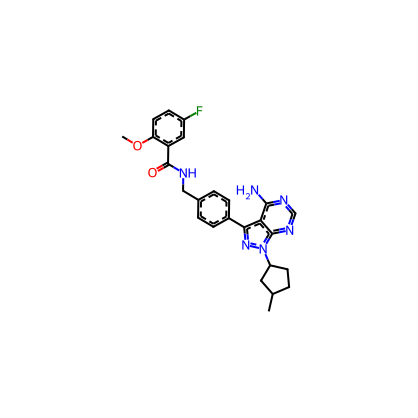 COc1ccc(F)cc1C(=O)NCc1ccc(-c2nn(C3CCC(C)C3)c3ncnc(N)c23)cc1